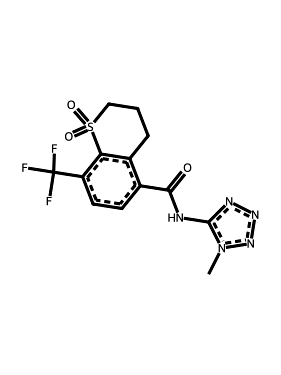 Cn1nnnc1NC(=O)c1ccc(C(F)(F)F)c2c1CCCS2(=O)=O